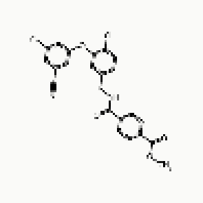 COC(=O)c1ccc(C(=O)NCc2ccc(Cl)c(Oc3cc(Cl)cc(C#N)c3)c2)cc1